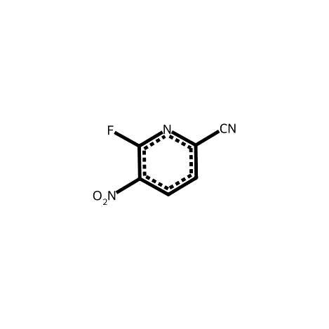 N#Cc1ccc([N+](=O)[O-])c(F)n1